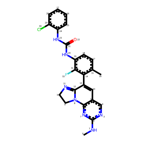 CNc1ncc2c(n1)N1CCN=C1C(c1c(C)ccc(NC(=O)Nc3ccccc3Cl)c1F)=C2